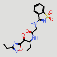 CCc1noc(C(=O)[C@H](CC)NC(=O)CNC2=NS(=O)(=O)c3ccccc32)n1